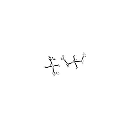 CC(=O)O[Si](C)(C)OC(C)=O.CCO[Si](C)(C)OCC